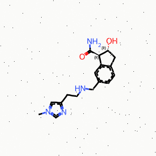 Cn1cnc(CCNCc2ccc3c(c2)[C@@H](C(N)=O)[C@H](O)C3)c1